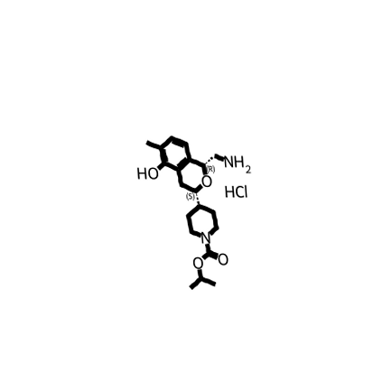 Cc1ccc2c(c1O)C[C@@H](C1CCN(C(=O)OC(C)C)CC1)O[C@H]2CN.Cl